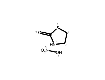 O=C1NCCS1.O=[N+]([O-])O